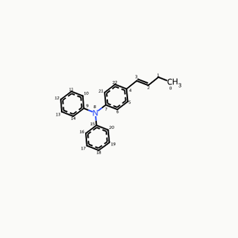 CCC=Cc1ccc(N(c2ccccc2)c2ccccc2)cc1